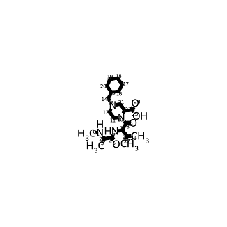 CNC(C)C(=O)NC(C(=O)N1CCN(CC2CCCCC2)CC1C(=O)O)C(C)C